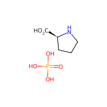 O=C(O)[C@@H]1CCCN1.O=P(O)(O)O